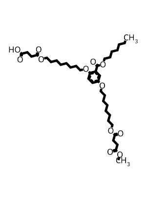 CCCCCCCOC(=O)c1cc(OCCCCCCCCOC(=O)CCC(=O)OC)ccc1OCCCCCCCCOC(=O)CCC(=O)O